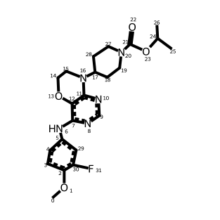 COc1ccc(Nc2ncnc3c2OCCN3C2CCN(C(=O)OC(C)C)CC2)cc1F